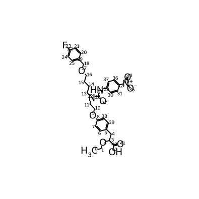 CCOC(Cc1ccc(OCCN(CCCCOCc2ccc(F)cc2)C(=O)Nc2ccc([N+](=O)[O-])cc2)cc1)C(=O)O